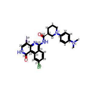 CN(C)c1ccc(N2CCC[C@H](C(=O)Nc3nc4c(I)c[nH]c(=O)c4c4cc(Br)ccc34)C2)cc1